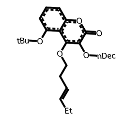 CCC=CCCOc1c(OCCCCCCCCCC)c(=O)oc2cccc(OC(C)(C)C)c12